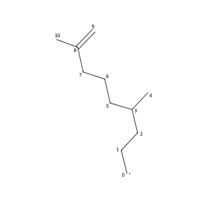 [CH2]CCC(C)CCCC(=C)C